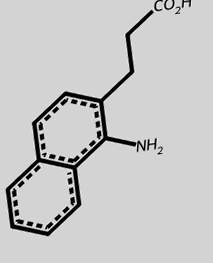 Nc1c(CCC(=O)O)ccc2ccccc12